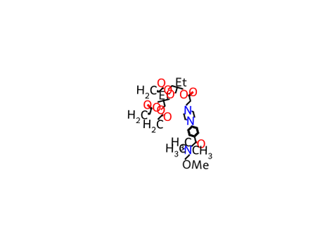 C=CC(=O)OCC(CC)(COCC(CC)(COC(=O)C=C)COC(=O)CCN1CCN(c2ccc(C(=O)C(C)(C)N(C)CCOC)cc2)CC1)COC(=O)C=C